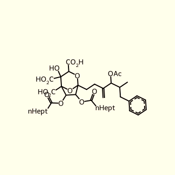 C=C(CCC12OC(C(=O)O)C(O)(C(=O)O)C(C(=O)O)(O1)C(OC(=O)CCCCCCC)C2OC(=O)CCCCCCC)C(OC(C)=O)C(C)Cc1ccccc1